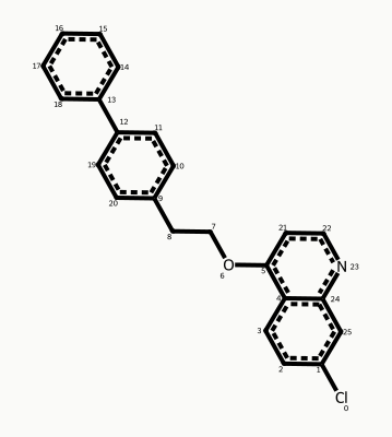 Clc1ccc2c(OCCc3ccc(-c4ccccc4)cc3)ccnc2c1